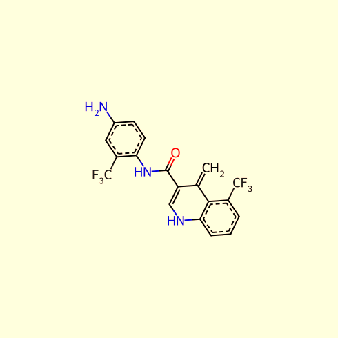 C=C1C(C(=O)Nc2ccc(N)cc2C(F)(F)F)=CNc2cccc(C(F)(F)F)c21